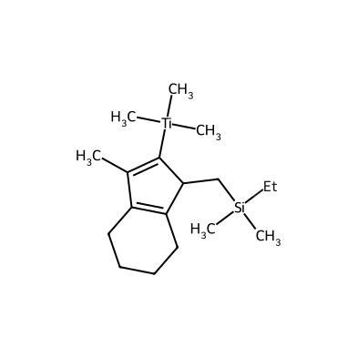 CC[Si](C)(C)CC1C2=C(CCCC2)C(C)=[C]1[Ti]([CH3])([CH3])[CH3]